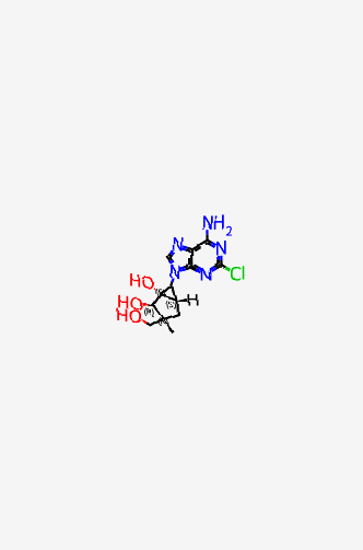 C[C@]1(CO)C[C@H]2C(n3cnc4c(N)nc(Cl)nc43)[C@]2(O)[C@@H]1O